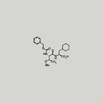 C[C@@H](OC(C)(C)C)[C@H](NC(=O)OCc1ccccc1)C(=O)N[C@@H](CC1CCCCC1)C(=O)O